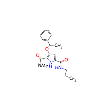 CNC(=O)c1[nH]c(C(=O)NCCC(F)(F)F)cc1OC(C)c1ccccc1